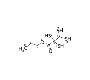 CCCOC(=O)C(S)(S)C(S)S